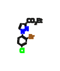 CCOC(=O)c1ccn(-c2ccc(Cl)cc2Br)n1